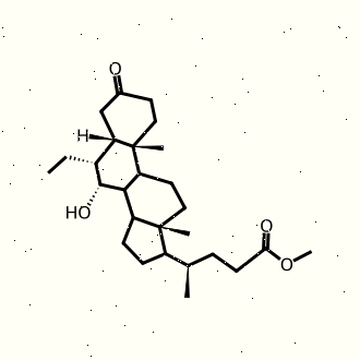 CC[C@H]1[C@@H](O)C2C3CCC([C@H](C)CCC(=O)OC)[C@@]3(C)CCC2[C@@]2(C)CCC(=O)C[C@@H]12